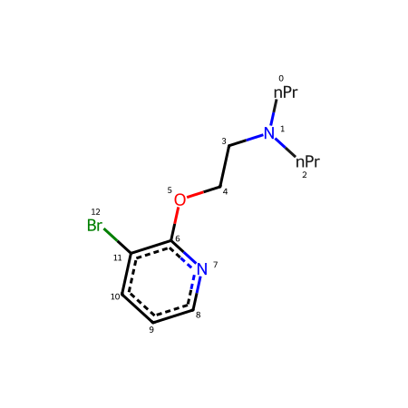 CCCN(CCC)CCOc1ncccc1Br